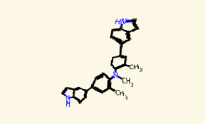 CC1=C(N(C)c2ccc(-c3ccc4[nH]ccc4c3)cc2C)CCC(c2ccc3[nH]ccc3c2)=C1